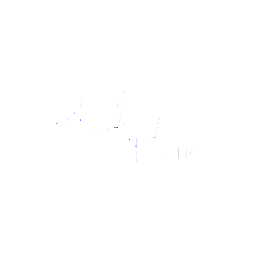 CC([C]=O)NC(=O)CN(C)C